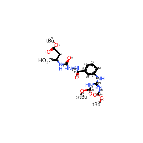 CC(C)(C)OC(=O)CC(NC(=O)NNC(=O)c1cccc(N/C(=N/C(=O)OC(C)(C)C)NC(=O)OC(C)(C)C)c1)C(=O)O